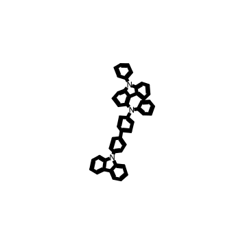 c1ccc(N(c2ccc(-c3ccc(-n4c5ccccc5c5ccccc54)cc3)cc2)c2cccc3c2c2ccccc2n3-c2ccccc2)cc1